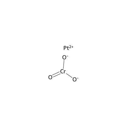 [O]=[Cr]([O-])[O-].[Pt+2]